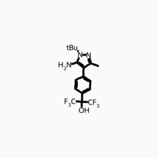 Cc1nn(C(C)(C)C)c(N)c1-c1ccc(C(O)(C(F)(F)F)C(F)(F)F)cc1